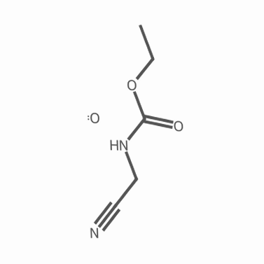 CCOC(=O)NCC#N.[O]